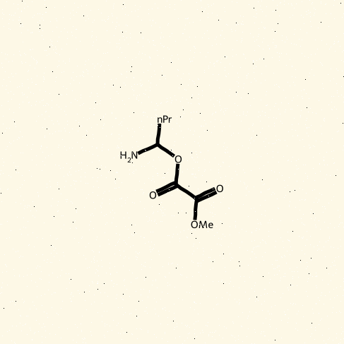 CCCC(N)OC(=O)C(=O)OC